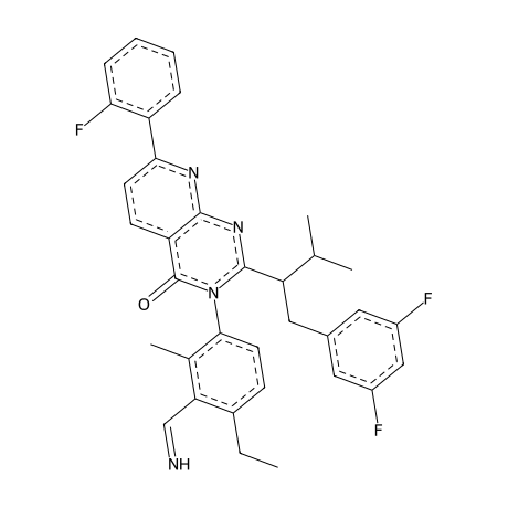 CCc1ccc(-n2c(C(Cc3cc(F)cc(F)c3)C(C)C)nc3nc(-c4ccccc4F)ccc3c2=O)c(C)c1C=N